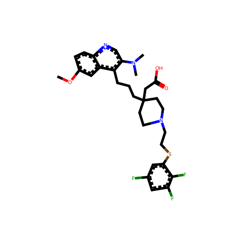 COc1ccc2ncc(N(C)C)c(CCCC3(CC(=O)O)CCN(CCSc4cc(F)cc(F)c4F)CC3)c2c1